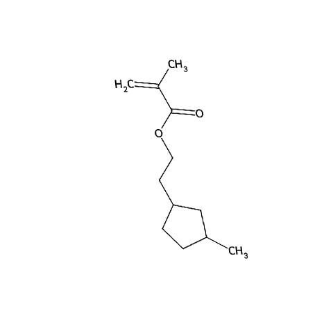 C=C(C)C(=O)OCCC1CCC(C)C1